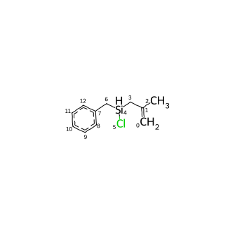 C=C(C)C[SiH](Cl)Cc1ccccc1